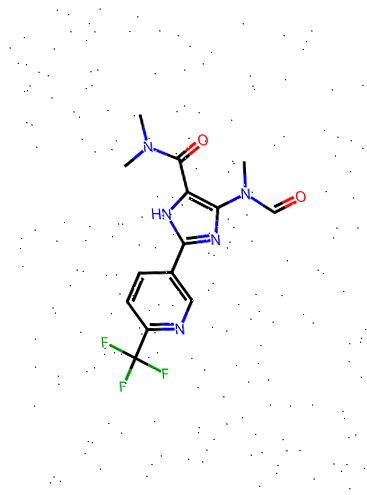 CN(C)C(=O)c1[nH]c(-c2ccc(C(F)(F)F)nc2)nc1N(C)C=O